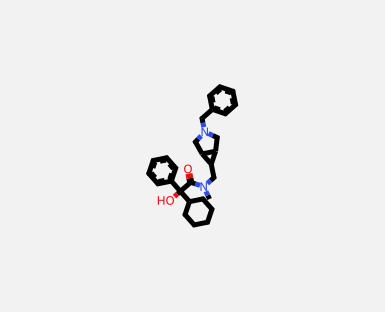 CN(CC1C2CN(Cc3ccccc3)CC21)C(=O)C(O)(c1ccccc1)C1CCCCC1